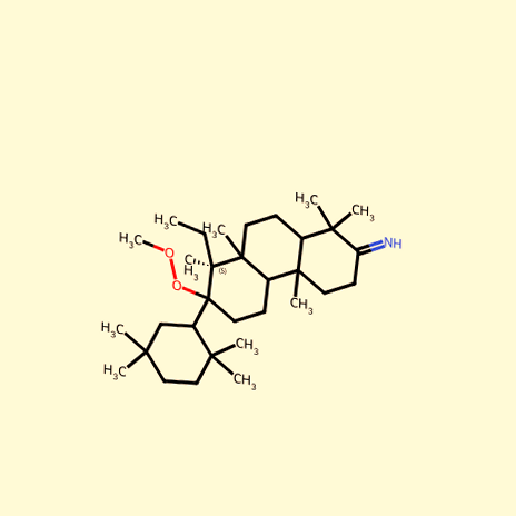 CC[C@@]1(C)C2(C)CCC3C(C)(C)C(=N)CCC3(C)C2CCC1(OOC)C1CC(C)(C)CCC1(C)C